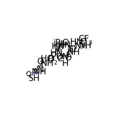 CC(C)[C@@H]1NC(=O)[C@@H](Cc2ccc(OCCCNC(=O)c3ccc(N/N=C/c4ccccc4S)nc3)cc2)NC(=O)[C@H](CC(=O)O)NC(=O)CNC(=O)[C@H](CCCNC(=N)NC(=O)C(F)(F)F)NC1=O